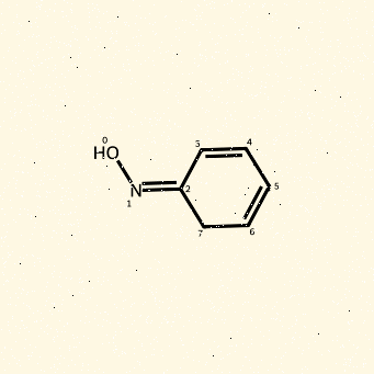 ON=C1C=C[C]=CC1